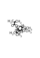 C=C(C)C(=O)OC[C@]12OC[C@H]3OC(C)(C)O[C@H]3[C@@H]1OC(C)(C)O2